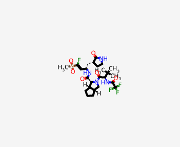 CC(C)(C)[C@@H](NC(=O)C(F)(F)F)C(=O)N1C[C@@H]2CCC[C@@H]2[C@H]1C(=O)N[C@H](/C=C(\F)S(C)(=O)=O)C[C@H]1CCNC1=O